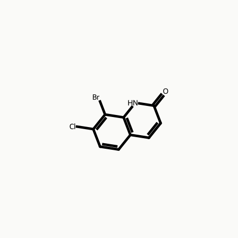 O=c1ccc2ccc(Cl)c(Br)c2[nH]1